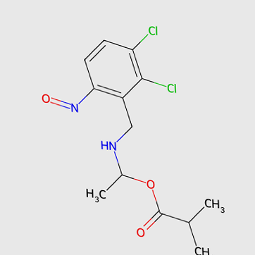 CC(NCc1c(N=O)ccc(Cl)c1Cl)OC(=O)C(C)C